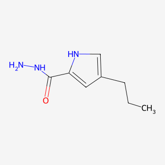 CCCc1c[nH]c(C(=O)NN)c1